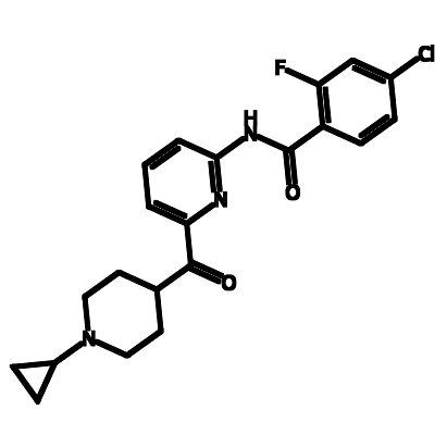 O=C(Nc1cccc(C(=O)C2CCN(C3CC3)CC2)n1)c1ccc(Cl)cc1F